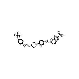 O=[N+]([O-])c1cn2c(n1)O[C@@H](COc1ccc(N3CCC(CCOc4ccc(OC(F)(F)F)cc4)CC3)nc1)CC2